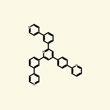 c1ccc(-c2ccc(-c3cc(-c4cccc(-c5ccncc5)c4)nc(-c4cccc(-c5ccncc5)c4)c3)cc2)nc1